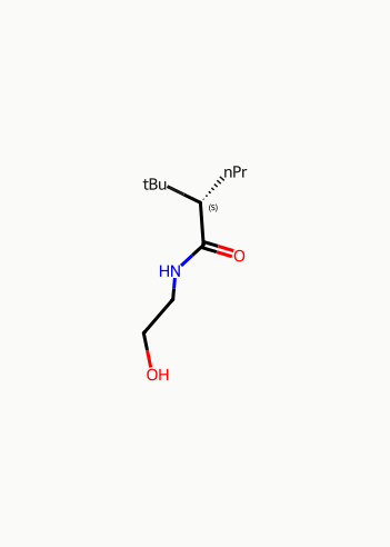 CCC[C@H](C(=O)NCCO)C(C)(C)C